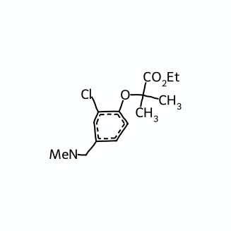 CCOC(=O)C(C)(C)Oc1ccc(CNC)cc1Cl